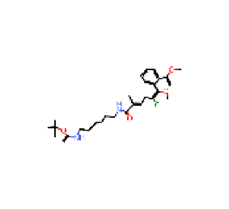 C=C(NCCCCCCNC(=O)/C(C)=C/C/C(Cl)=C(/OC)c1ccccc1C(=C)OC)OC(C)(C)C